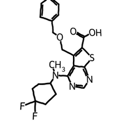 CN(c1ncnc2sc(C(=O)O)c(COCc3ccccc3)c12)C1CCC(F)(F)CC1